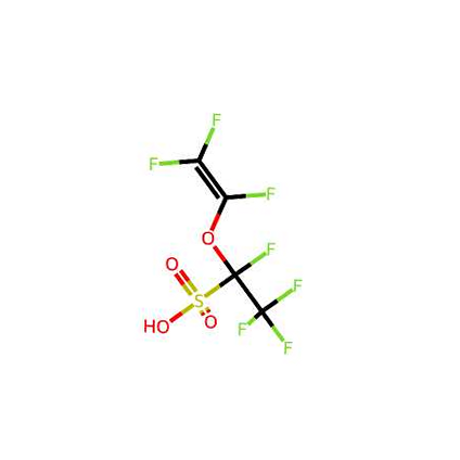 O=S(=O)(O)C(F)(OC(F)=C(F)F)C(F)(F)F